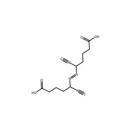 [C-]#[N+]C(CCCC(=O)O)N=NC(CCCC(=O)O)[N+]#[C-]